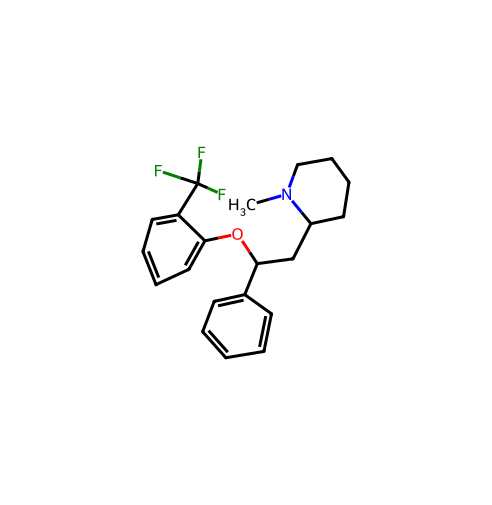 CN1CCCCC1CC(Oc1ccccc1C(F)(F)F)c1ccccc1